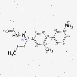 CCC/C(=N\NC=O)c1ccc(-c2cccc(N)c2)c(C)c1